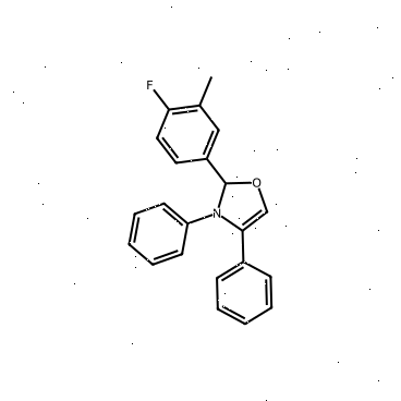 Cc1cc(C2OC=C(c3ccccc3)N2c2ccccc2)ccc1F